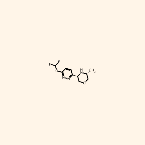 C[C@@H]1COC[C@H](c2ccc(OC(F)F)nn2)N1